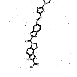 O=C(O)c1cc2c3c(ccc2[nH]1)N(C(=O)c1nc2ccc(/N=N/c4cnc(N5CCCC5)s4)cc2s1)CC3